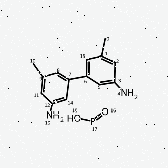 Cc1cc(N)cc(-c2cc(C)cc(N)c2)c1.O=PO